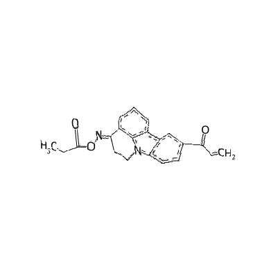 C=CC(=O)c1ccc2c(c1)c1cccc3c1n2CC/C3=N\OC(=O)CC